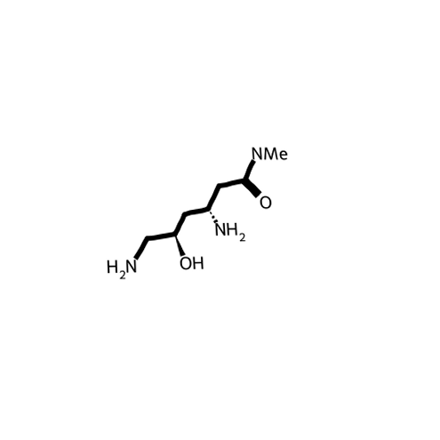 CNC(=O)C[C@H](N)C[C@@H](O)CN